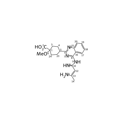 COC1(C(=O)O)CCC(c2nc(NC(=N)/C=C(/C)N)c3ccccc3n2)CC1